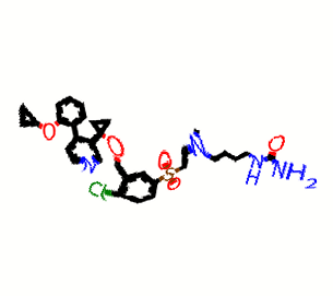 CN(CCCCNC(N)=O)CCS(=O)(=O)c1ccc(Cl)c(COC2(c3cnccc3-c3ccccc3OC3CC3)CC2)c1